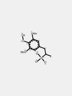 COc1cc(CC(C)[Si](Cl)(Cl)Cl)cc(OC)c1OC#N